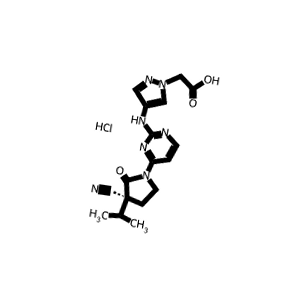 CC(C)[C@]1(C#N)CCN(c2ccnc(Nc3cnn(CC(=O)O)c3)n2)C1=O.Cl